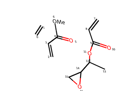 C=C.C=CC(=O)OC.C=CC(=O)OC(C)C1CO1